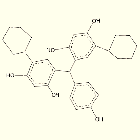 Oc1ccc(C(c2cc(C3CCCCC3)c(O)cc2O)c2cc(C3CCCCC3)c(O)cc2O)cc1